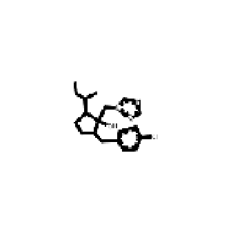 CCC(C)C1CCC(Cc2ccc(Cl)cc2)C1(O)Cn1cncn1